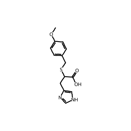 COc1ccc(CSC(Cc2c[nH]cn2)C(=O)O)cc1